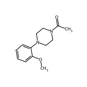 COc1cc[c]cc1N1CCN(C(C)=O)CC1